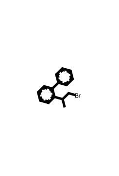 CC(CBr)c1ccccc1-c1ccccc1